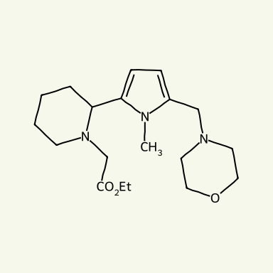 CCOC(=O)CN1CCCCC1c1ccc(CN2CCOCC2)n1C